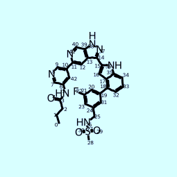 CCCC(=O)Nc1cncc(-c2cc3c(-c4cc5c(-c6cc(F)cc(CNS(C)(=O)=O)c6)cccc5[nH]4)n[nH]c3cn2)c1